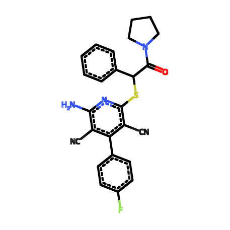 N#Cc1c(N)nc(SC(C(=O)N2CCCC2)c2ccccc2)c(C#N)c1-c1ccc(F)cc1